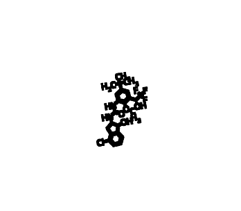 COc1c(NC(=O)N[C@@H]2Cc3c(Cl)cccc3C2O)cc(C(C)(C)C)cc1[C@@H](O)C(F)(F)F